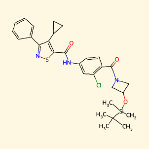 CC(C)(C)[Si](C)(C)OC1CN(C(=O)c2ccc(NC(=O)c3snc(-c4ccccc4)c3C3CC3)cc2Cl)C1